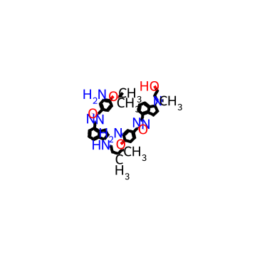 CC(C)Oc1ccc(-c2nc(-c3cccc4c3CCC4NCCC(C)C(C)OC3CC=C(c4nc(-c5cccc6c5CC[C@@H]6N(C)CCO)no4)C=C3N)no2)cc1N